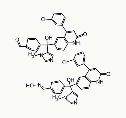 Cn1cncc1C(O)(c1ccc(C=NO)cc1)c1ccc2[nH]c(=O)cc(-c3cccc(Cl)c3)c2c1.Cn1cncc1C(O)(c1ccc(C=O)cc1)c1ccc2[nH]c(=O)cc(-c3cccc(Cl)c3)c2c1